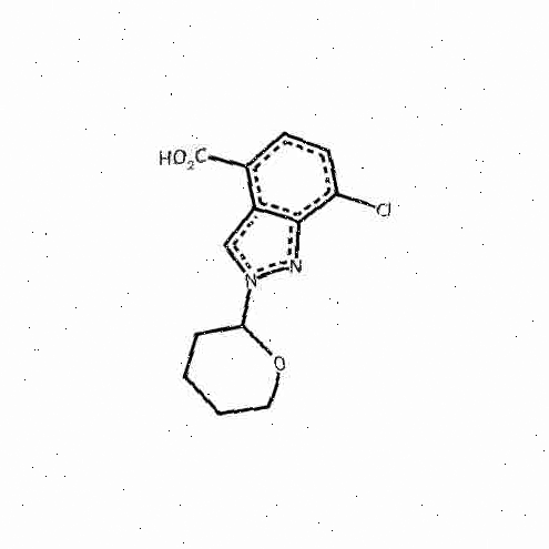 O=C(O)c1ccc(Cl)c2nn(C3CCCCO3)cc12